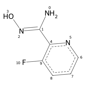 NC(=NO)c1ncccc1F